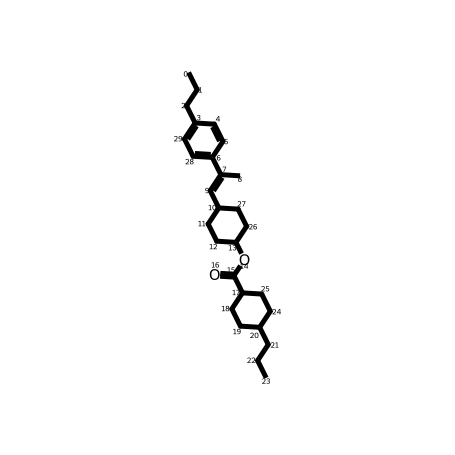 CCCc1ccc(/C(C)=C/C2CCC(OC(=O)C3CCC(CCC)CC3)CC2)cc1